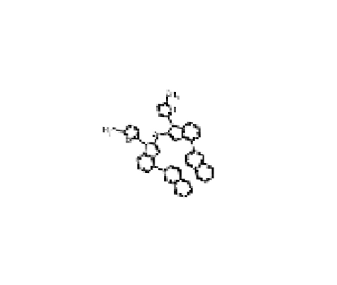 Cc1ccc(C2[C]([Zr][C]3=Cc4c(-c5ccc6ccccc6c5)cccc4C3c3ccc(C)o3)=Cc3c(-c4ccc5ccccc5c4)cccc32)o1